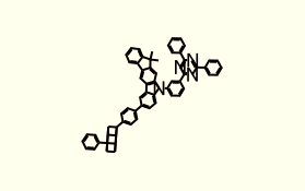 CC1(C)c2ccccc2-c2cc3c4cc(-c5ccc(C67C8C9C6C6C7C8C96c6ccccc6)cc5)ccc4n(-c4cccc(-c5nc(-c6ccccc6)nc(-c6ccccc6)n5)c4)c3cc21